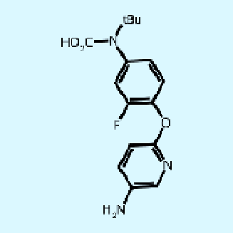 CC(C)(C)N(C(=O)O)c1ccc(Oc2ccc(N)cn2)c(F)c1